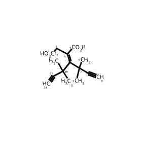 C#CC(C)(C)C(=C(CC(=O)O)C(=O)O)C(C)(C)C#C